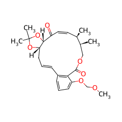 COCOc1cccc2c1C(=O)OC[C@H](C)[C@H](C)/C=C\C(=O)[C@H]1OC(C)(C)O[C@H]1C/C=C/2